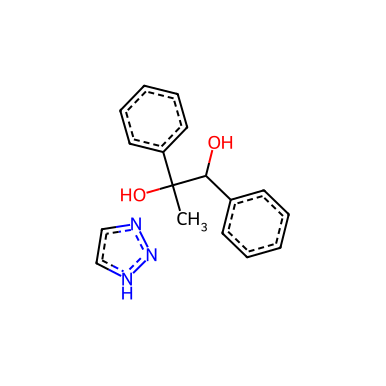 CC(O)(c1ccccc1)C(O)c1ccccc1.c1c[nH]nn1